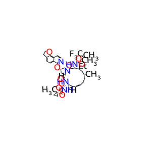 CC[C@@H]1C[C@H](C)CCC=C[C@@H]2C[C@@]2(C(=O)NS(=O)(=O)C2(C)CC2)NC(=O)[C@@H]2C[C@@H](Oc3nccc4c5c(ccc34)CCO5)CN2C(=O)[C@H]1NC(=O)OC(C)(C)C(F)(F)F